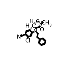 CC(C(=O)N(C)C)N(CCc1ccccc1)c1ccc(C#N)c(Cl)c1